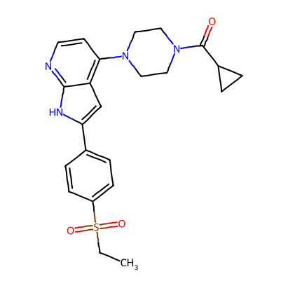 CCS(=O)(=O)c1ccc(-c2cc3c(N4CCN(C(=O)C5CC5)CC4)ccnc3[nH]2)cc1